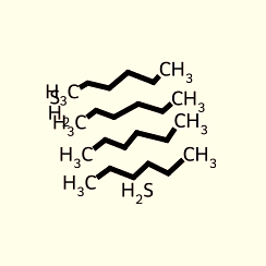 CCCCCC.CCCCCC.CCCCCC.CCCCCC.S.S